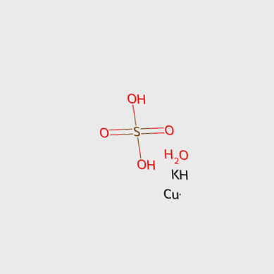 O.O=S(=O)(O)O.[Cu].[KH]